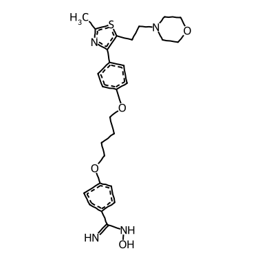 Cc1nc(-c2ccc(OCCCCOc3ccc(C(=N)NO)cc3)cc2)c(CCN2CCOCC2)s1